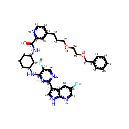 O=C(N[C@@H]1CCC[C@H](Nc2nc(-c3c[nH]c4ncc(F)cc34)ncc2F)C1)c1cc(CCCOCCOCc2ccccc2)ccn1